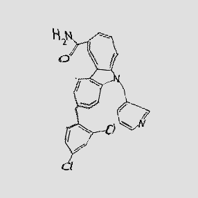 NC(=O)c1cccc2c1c1[c]cc(-c3ccc(Cl)cc3Cl)cc1n2Cc1cccnc1